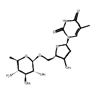 Cc1cn([C@H]2CC(O)[C@@H](CO[C@@H]3O[C@H](C)[C@@H](N)[C@H](O)[C@H]3O)O2)c(=O)[nH]c1=O